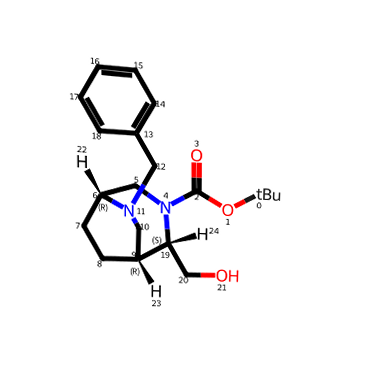 CC(C)(C)OC(=O)N1C[C@H]2CC[C@H](CN2Cc2ccccc2)[C@H]1CO